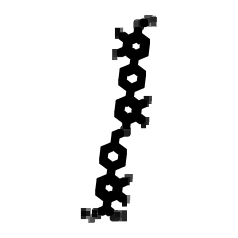 CCOc1ccc(C2=CCC(c3ccc(OCC4CCC(c5ccc(C(C)O)c(F)c5F)CC4)c(F)c3F)CC2)c(F)c1F